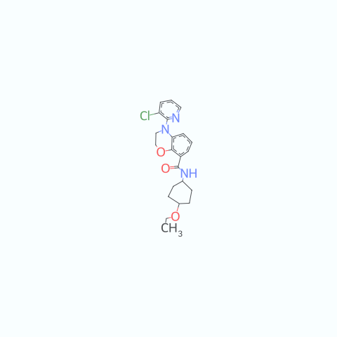 CCOC1CCC(NC(=O)c2cccc3c2OCCN3c2ncccc2Cl)CC1